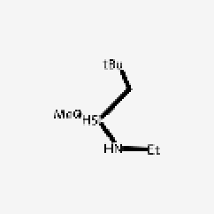 CCN[SiH](CC(C)(C)C)OC